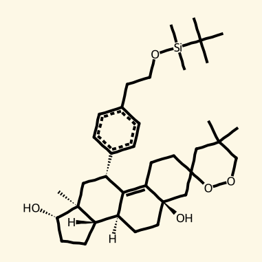 CC1(C)COOC2(CCC3=C4[C@@H](CC[C@@]3(O)C2)[C@@H]2CC[C@H](O)[C@@]2(C)C[C@@H]4c2ccc(CCO[Si](C)(C)C(C)(C)C)cc2)C1